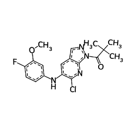 COc1cc(Nc2cc3cnn(C(=O)C(C)(C)C)c3nc2Cl)ccc1F